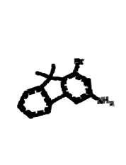 CC1(C)c2ccccc2-c2cc(N)cc(Br)c21